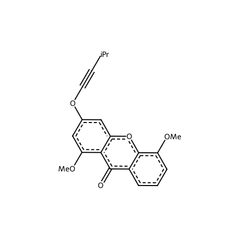 COc1cccc2c(=O)c3c(OC)cc(OC#CC(C)C)cc3oc12